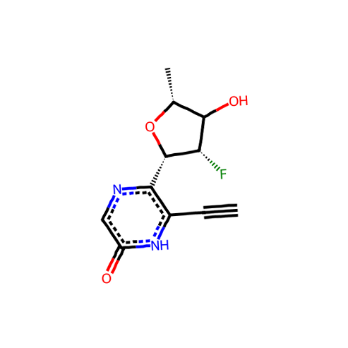 C#Cc1[nH]c(=O)cnc1[C@@H]1O[C@H](C)C(O)[C@@H]1F